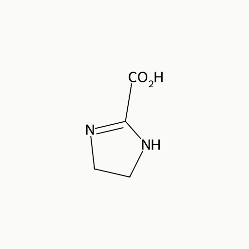 O=C(O)C1=NCCN1